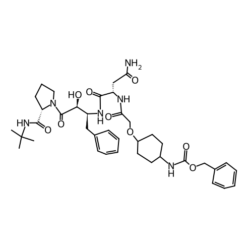 CC(C)(C)NC(=O)[C@@H]1CCCN1C(=O)[C@@H](O)[C@H](Cc1ccccc1)NC(=O)[C@H](CC(N)=O)NC(=O)COC1CCC(NC(=O)OCc2ccccc2)CC1